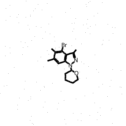 Cc1cc2c(c(C)nn2C2CCCCO2)c(Br)c1C